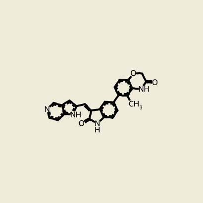 Cc1c(-c2ccc3c(c2)/C(=C/c2cc4cnccc4[nH]2)C(=O)N3)ccc2c1NC(=O)CO2